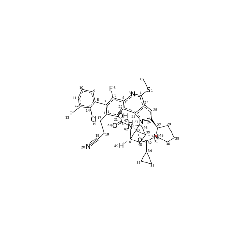 CSc1nc2c(F)c(-c3cccc(F)c3Cl)c(CCC#N)cc2c2c1cc([C@H]1CCCN1C(=O)C1CC1)n2[C@H]1[C@@H]2C[C@H]1N(C(=O)O)C2